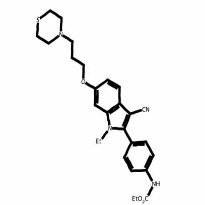 CCOC(=O)Nc1ccc(-c2c(C#N)c3ccc(OCCCN4CCSCC4)cc3n2CC)cc1